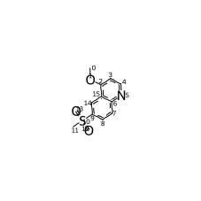 COc1ccnc2ccc(S(C)(=O)=O)cc12